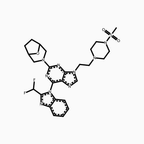 CS(=O)(=O)N1CCN(CCn2cnc3c(-n4c(C(F)F)nc5ccccc54)nc(N4CC5CCC(C4)O5)nc32)CC1